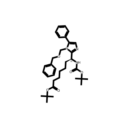 CC(C)(C)OC(=O)CCCCC[C@H](NC(=O)OC(C)(C)C)c1ncc(-c2ccccc2)n1COCc1ccccc1